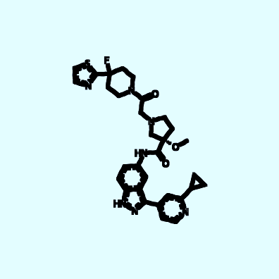 CO[C@@]1(C(=O)Nc2ccc3[nH]nc(-c4ccnc(C5CC5)c4)c3c2)CCN(CC(=O)N2CCC(F)(c3nccs3)CC2)C1